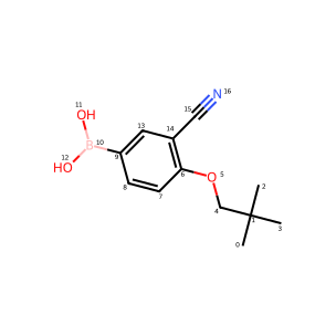 CC(C)(C)COc1ccc(B(O)O)cc1C#N